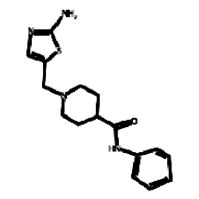 Nc1ncc(CN2CCC(C(=O)Nc3ccccc3)CC2)s1